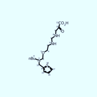 CCCCN(COCCNCNCC(=O)C(=O)O)Cc1cccs1